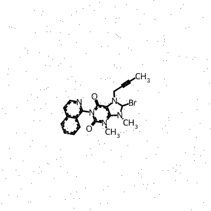 CC#CCN1c2c(n(C)c(=O)n(-c3nccc4ccccc34)c2=O)N(C)C1Br